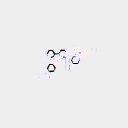 CCCCOC(=O)N1CCC[C@H](Nc2nccc(-c3cccnc3Oc3ccc(N)cc3)n2)C1